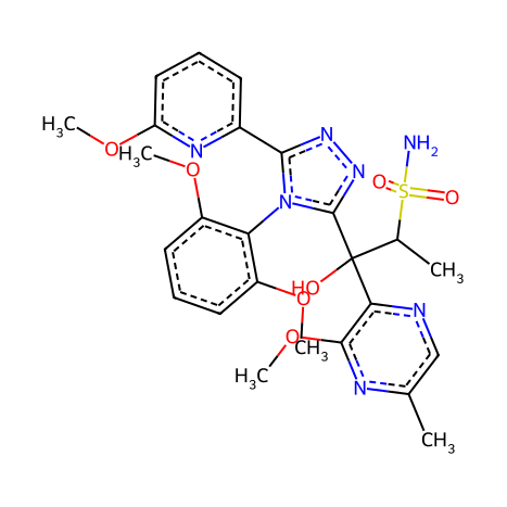 COc1cccc(-c2nnc(C(O)(c3ncc(C)nc3OC)C(C)S(N)(=O)=O)n2-c2c(OC)cccc2OC)n1